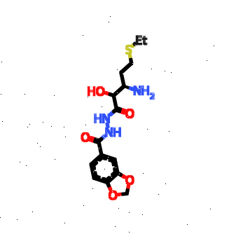 CCSCC[C@@H](N)C(O)C(=O)NNC(=O)c1ccc2c(c1)OCO2